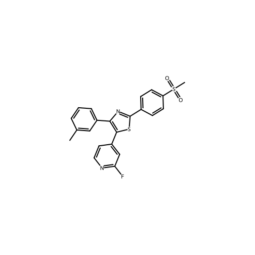 Cc1cccc(-c2nc(-c3ccc(S(C)(=O)=O)cc3)sc2-c2ccnc(F)c2)c1